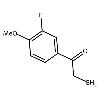 BCC(=O)c1ccc(OC)c(F)c1